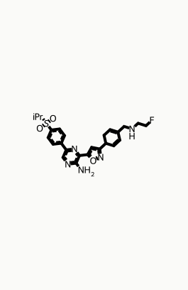 CC(C)S(=O)(=O)c1ccc(-c2cnc(N)c(-c3cc(C4C=CC(CNCCF)=CC4)no3)n2)cc1